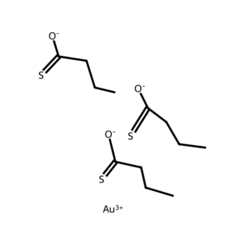 CCCC([O-])=S.CCCC([O-])=S.CCCC([O-])=S.[Au+3]